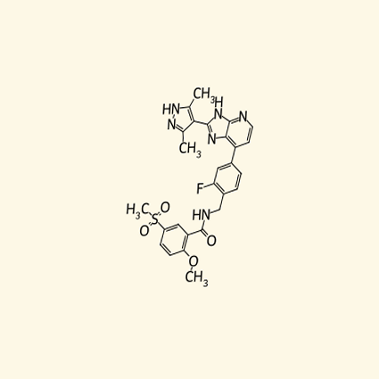 COc1ccc(S(C)(=O)=O)cc1C(=O)NCc1ccc(-c2ccnc3[nH]c(-c4c(C)n[nH]c4C)nc23)cc1F